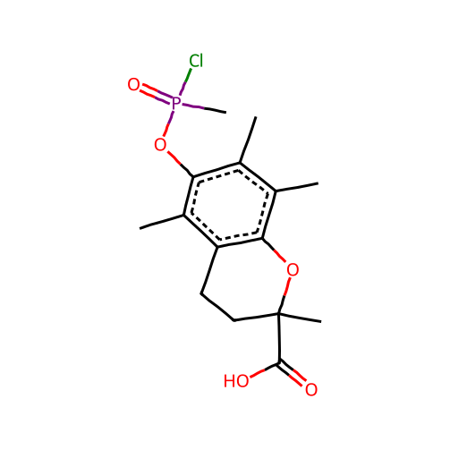 Cc1c(C)c2c(c(C)c1OP(C)(=O)Cl)CCC(C)(C(=O)O)O2